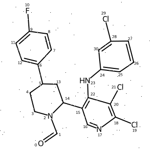 O=CN1CCC(c2ccc(F)cc2)CC1c1cnc(Cl)c(Cl)c1Nc1cccc(Cl)c1